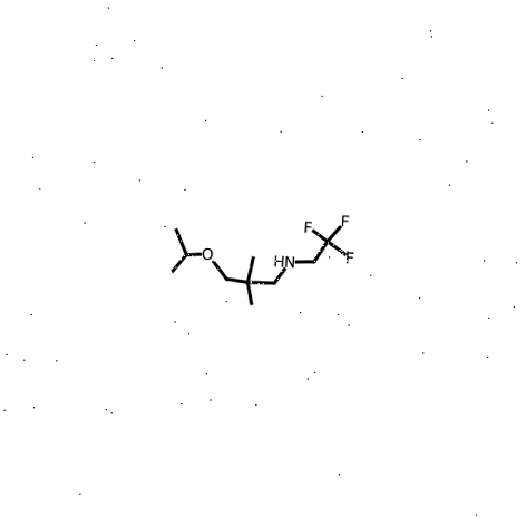 CC(C)OCC(C)(C)CNCC(F)(F)F